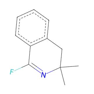 CC1(C)Cc2ccccc2C(F)=N1